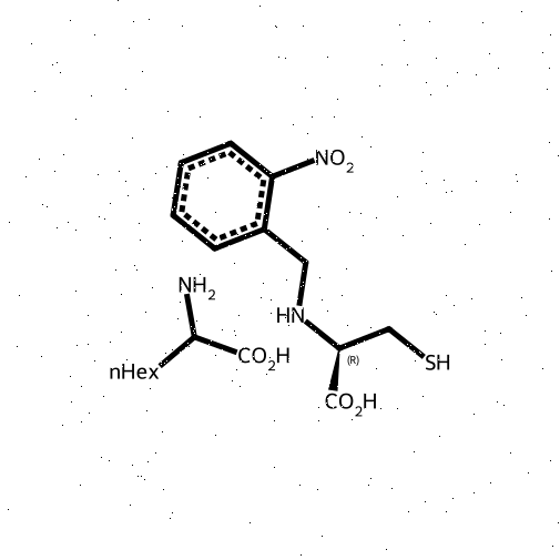 CCCCCCC(N)C(=O)O.O=C(O)[C@H](CS)NCc1ccccc1[N+](=O)[O-]